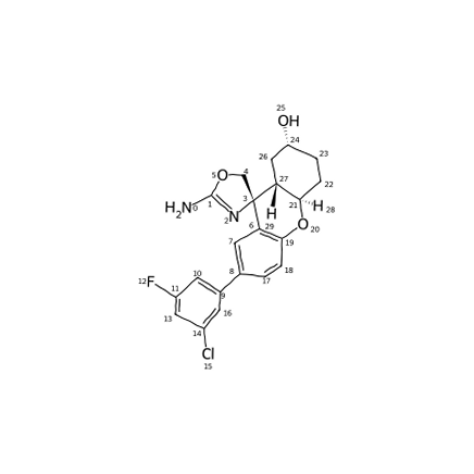 NC1=N[C@@]2(CO1)c1cc(-c3cc(F)cc(Cl)c3)ccc1O[C@@H]1CC[C@@H](O)C[C@H]12